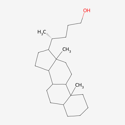 C[C@H](CCCO)C1CCC2C3CCC4CCCCC4(C)C3CCC21C